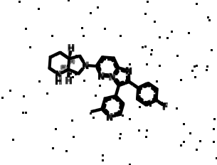 Cc1cc(-c2c(-c3ccc(F)cc3)nc3ccc(N4C[C@H]5CCCN[C@H]5C4)nn23)ccn1